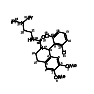 COc1cc2c(cc1OC)C(c1c(Cl)cccc1Cl)N(C(=O)NCCN(C(C)C)C(C)C)CC2